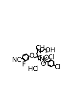 CN(CCO)CC1(COc2ccc(C#N)c(F)c2)CN(S(=O)(=O)c2ccc(Cl)cc2Cl)C1.Cl